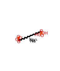 O=C(CCCCCCCCCCCCCCC(=O)P(=O)(O)O)P(=O)([O-])[O-].[Na+].[Na+]